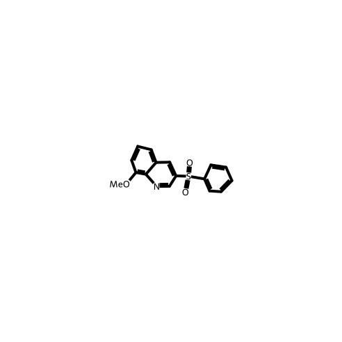 COc1cccc2cc(S(=O)(=O)c3ccccc3)cnc12